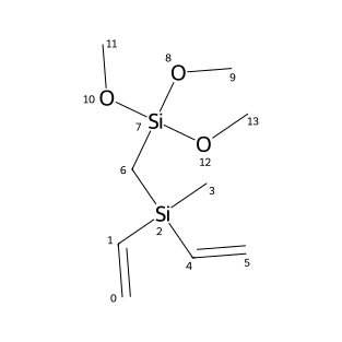 C=C[Si](C)(C=C)C[Si](OC)(OC)OC